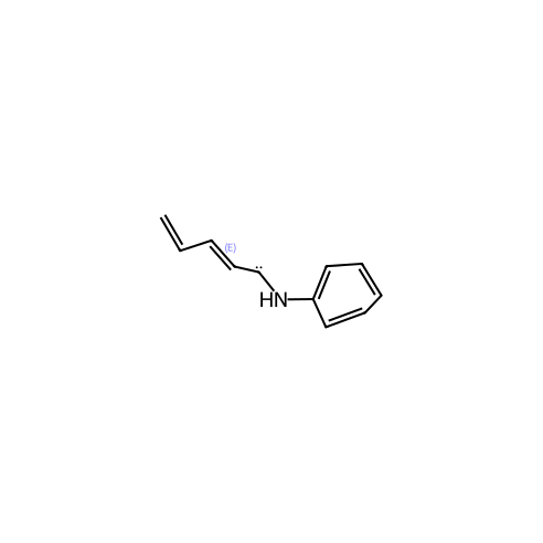 C=C/C=C/[C]Nc1ccccc1